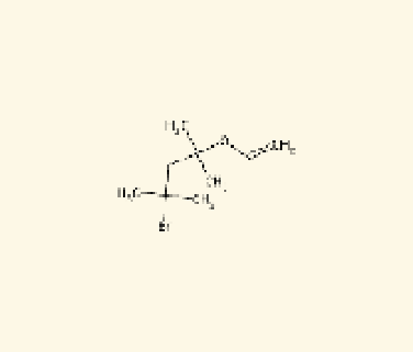 C=COC(C)(C)CC(C)(C)Br